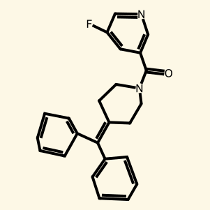 O=C(c1cncc(F)c1)N1CCC(=C(c2ccccc2)c2ccccc2)CC1